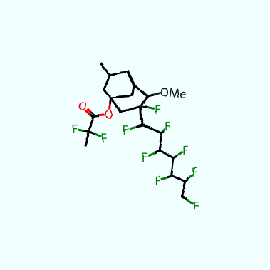 COC1C2CC(C)CC(OC(=O)C(C)(F)F)(C2)CC1(F)C(F)C(F)C(F)C(F)C(F)C(F)CF